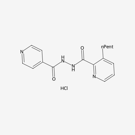 CCCCCc1cccnc1C(=O)NNC(=O)c1ccncc1.Cl